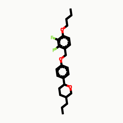 CCCCOc1ccc(COc2ccc(C3CCC(CCC)CO3)cc2)c(F)c1F